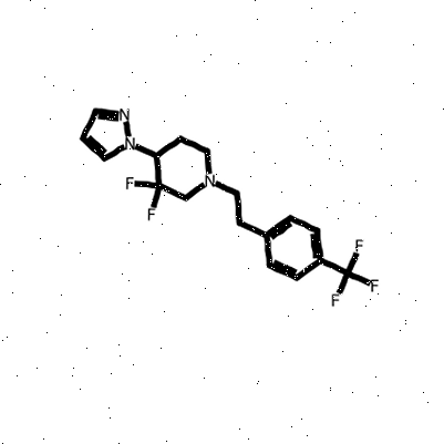 FC(F)(F)c1ccc(CCN2CCC(n3cccn3)C(F)(F)C2)cc1